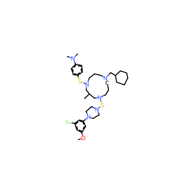 COc1cc(F)cc(N2CCN(SN3CCCN(CC4CCCCC4)CCCN(Sc4ccc(N(C)C)cc4)CC(C)C3)CC2)c1